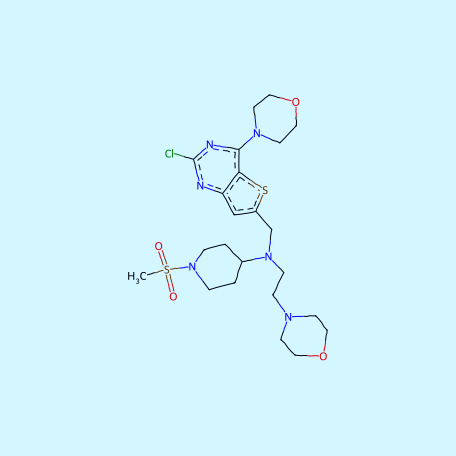 CS(=O)(=O)N1CCC(N(CCN2CCOCC2)Cc2cc3nc(Cl)nc(N4CCOCC4)c3s2)CC1